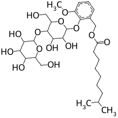 COc1cccc(COC(=O)CCCCCCC(C)C)c1OC1OC(CO)C(OC2OC(CO)C(O)C(O)C2O)C(O)C1O